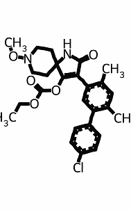 CCOC(=O)OC1=C(c2cc(-c3ccc(Cl)cc3)c(C)cc2C)C(=O)NC12CCN(OC)CC2